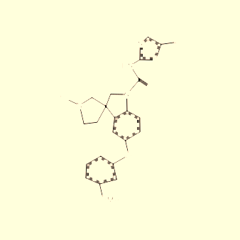 COc1cccc(Oc2ccc3c(c2)C2(CCN(C(C)=O)C2)CN3C(=O)Nc2ncc(Cl)s2)c1